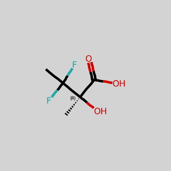 CC(F)(F)[C@](C)(O)C(=O)O